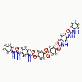 O=C(Nc1ccccc1)Nc1cccc(NC(=O)Oc2ccc(S(=O)(=O)c3ccc(OC(=O)Nc4cccc(NC(=O)Nc5ccccc5)c4)cc3)cc2)c1